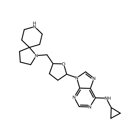 c1nc(NC2CC2)c2ncn(C3CCC(CN4CCCC45CCNCC5)O3)c2n1